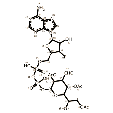 CC(=O)OC[C@@H](OC(C)=O)C1O[C@@H](OP(=O)(O)OP(=O)(O)OC[C@H]2O[C@@H](n3cnc4c(N)ncnc43)C(O)C2F)C(OC(C)=O)C(C=O)[C@@H]1OC(C)=O